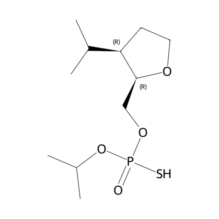 CC(C)OP(=O)(S)OC[C@@H]1OCC[C@@H]1C(C)C